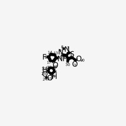 COC(=O)c1sc2ncnc(Nc3ccc(F)cc3O[C@@H]3C[C@@H]4OCO[C@@H]4C3)c2c1C